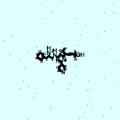 Cc1sc2c(NC[C@H](N)Cc3ccccc3)nc(-c3ccncc3)nc2c1C#CC(C)(C)O